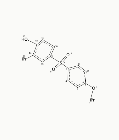 CC(C)Oc1ccc(S(=O)(=O)c2ccc(O)c(C(C)C)c2)cc1